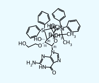 CC(C)(C)[Si](c1ccccc1)(c1ccccc1)C(O)[C@H]1O[C@@H](n2cnc3c(=O)[nH]c(N)nc32)[C@H](OCCO)[C@@]1(O)[Si](c1ccccc1)(c1ccccc1)C(C)(C)C